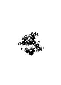 Cc1ccc(-c2cccc3cc(C(=O)Nc4ccc(Cl)cc4-c4nnn[nH]4)n(C)c23)s1.Cn1c(C(=O)Nc2ccc(Cl)cc2-c2nnn[nH]2)cc2cccc(-c3ccc(C(C)(C)C)cc3)c21